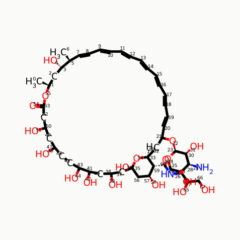 C[C@H]1C[C@H](O)[C@@H](C)/C=C/C=C/C=C/C=C/C=C/C=C/C=C/C(O[C@@H]2OC[C@@H](O)[C@H](N)[C@@H]2O)C[C@@H]2OC(O)(CC(O)CC(O)C(O)CCC(O)CC(O)CC(=O)O1)C[C@H](O)[C@H]2C(=O)NCC(O)CO